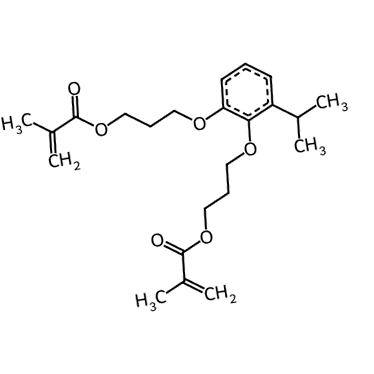 C=C(C)C(=O)OCCCOc1cccc(C(C)C)c1OCCCOC(=O)C(=C)C